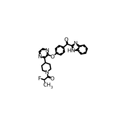 C[C@@H](F)C(=O)N1CCC(c2nccnc2Oc2ccc(C(=O)c3nc4ccccc4[nH]3)cc2)CC1